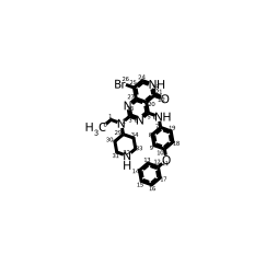 CCN(c1nc(Nc2ccc(Oc3ccccc3)cc2)c2c(=O)[nH]cc(Br)c2n1)C1CCNCC1